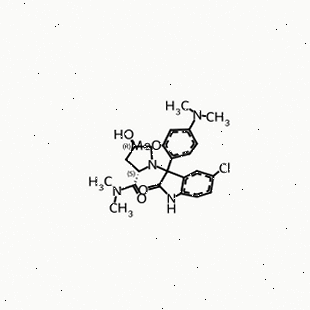 COc1cc(N(C)C)ccc1C1(N2C[C@H](O)C[C@H]2C(=O)N(C)C)C(=O)Nc2ccc(Cl)cc21